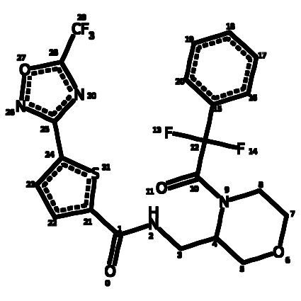 O=C(NCC1COCCN1C(=O)C(F)(F)c1ccccc1)c1ccc(-c2noc(C(F)(F)F)n2)s1